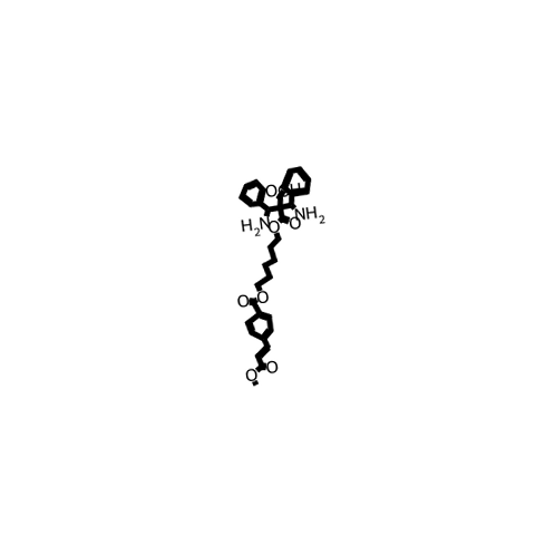 COC(=O)/C=C/c1ccc(C(=O)OCCCCCCOC(=O)C(C(=O)O)(C(N)c2ccccc2)C(N)c2ccccc2)cc1